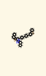 c1ccc2c(c1)ccc1c2nc2c3sc4ccc5ccccc5c4c3cc(-c3ccc(-c4ccc(-c5ccc6sc7ccccc7c6c5)cc4)cc3)n12